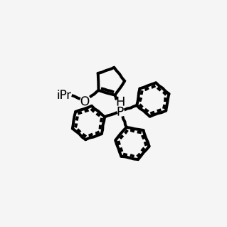 CC(C)OC1=C([PH](c2ccccc2)(c2ccccc2)c2ccccc2)CCC1